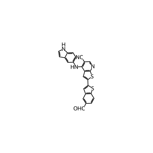 N#Cc1cnc2sc(-c3cc4cc(C=O)ccc4s3)cc2c1Nc1ccc2[nH]ccc2c1